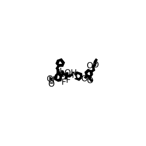 CCOC(=O)Cc1ccc(OC2CCN(CCC(O)(c3cn(Cc4ccccc4)c4cc([N+](=O)[O-])ccc34)C(F)(F)F)CC2)c(OC)c1